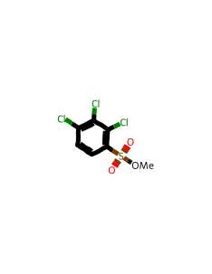 COS(=O)(=O)c1ccc(Cl)c(Cl)c1Cl